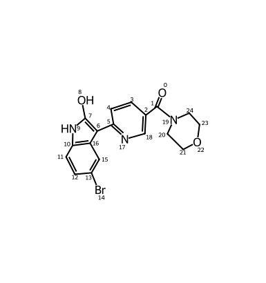 O=C(c1ccc(-c2c(O)[nH]c3ccc(Br)cc23)nc1)N1CCOCC1